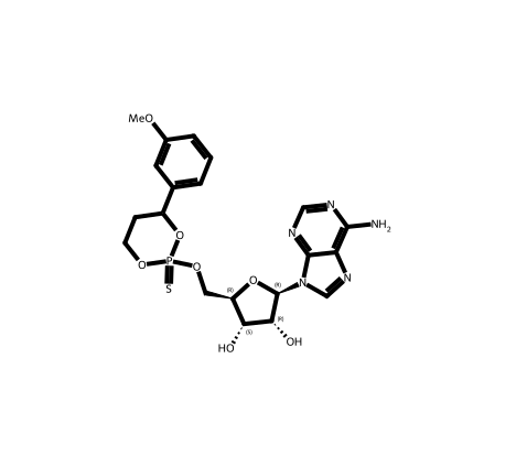 COc1cccc(C2CCOP(=S)(OC[C@H]3O[C@@H](n4cnc5c(N)ncnc54)[C@H](O)[C@@H]3O)O2)c1